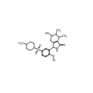 CCCN1CC2=C(C(=O)NC2c2cc(S(=O)(=O)N3CCN(C)CC3)ccc2OCC)N(C)C1C